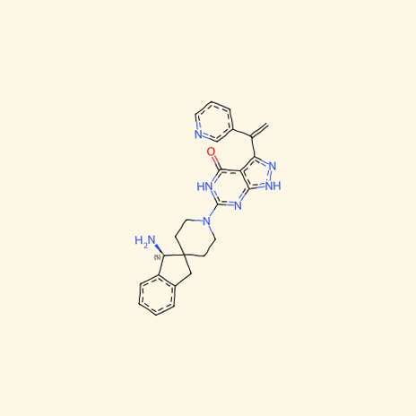 C=C(c1cccnc1)c1n[nH]c2nc(N3CCC4(CC3)Cc3ccccc3[C@H]4N)[nH]c(=O)c12